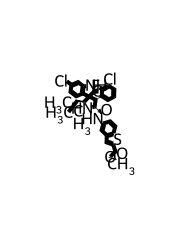 COC(=O)c1cc2cc(NC(=O)[C@@H]3N[C@@H](CC(C)(C)C)C4(C(=O)Nc5cc(Cl)ccc54)[C@@H]3c3cccc(Cl)c3F)ccc2s1